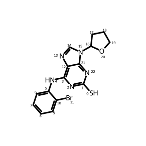 Sc1nc(Nc2ccccc2Br)c2ncn(C3CCCO3)c2n1